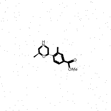 COC(=O)c1ccc([C@H]2CNC[C@H](C)O2)c(C)c1